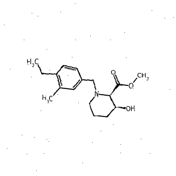 CCc1ccc(CN2CCC[C@H](O)[C@@H]2C(=O)OC)cc1C